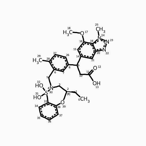 CC[C@@H]1CN(Cc2cc(C(CC(=O)O)c3cc(OC)c4c(c3)nnn4C)ccc2C)S(O)(O)c2ccccc2O1